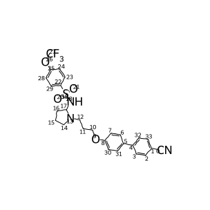 N#Cc1ccc(-c2ccc(OCCCN3CCCC3NS(=O)(=O)c3ccc(OC(F)(F)F)cc3)cc2)cc1